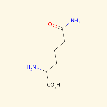 NC(=O)CCCC(N)C(=O)O